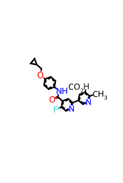 Cc1ncc(-c2cc(C(=O)Nc3ccc(OCC4CC4)cc3)c(F)cn2)cc1C(=O)O